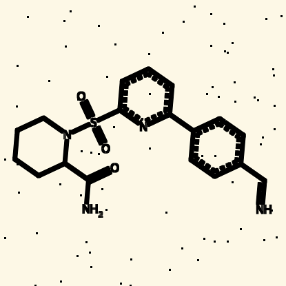 N=Cc1ccc(-c2cccc(S(=O)(=O)N3CCCCC3C(N)=O)n2)cc1